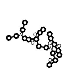 c1ccc(-c2ccc(N(c3ccc(-c4ccccc4)cc3)c3ccc4cc5oc6c(-c7cccc(-c8ccc(N(c9ccc(-c%10cccc%11c%10oc%10ccccc%10%11)cc9)c9c%10oc%11cc%12ccccc%12cc%11c%10cc%10oc%11cc%12ccccc%12cc%11c9%10)cc8)c7)cc7c8cc9ccccc9cc8oc7c6c5cc4c3)cc2)cc1